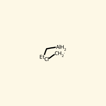 CC[CH2][AlH2].[CH2]Cl